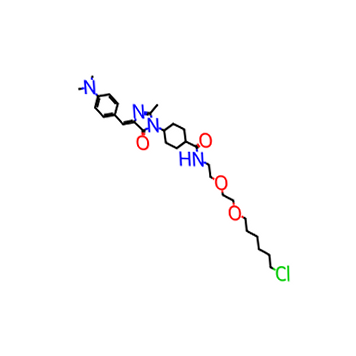 CC1=N/C(=C\c2ccc(N(C)C)cc2)C(=O)N1C1CCC(C(=O)NCCOCCOCCCCCCCl)CC1